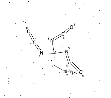 CCCCCCCCC(N=C=O)(N=C=O)N=C=O